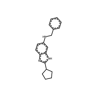 c1ccc(CNc2ccc3nc(C4CCCC4)[nH]c3c2)cc1